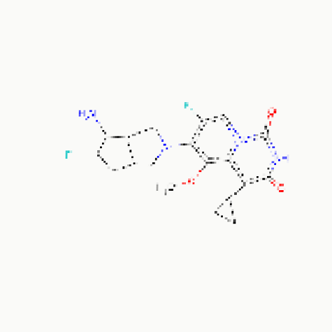 COc1c(N2CC3CC(F)C(N)C3C2)c(F)cn2c(=O)[nH]c(=O)c(C3CC3)c12